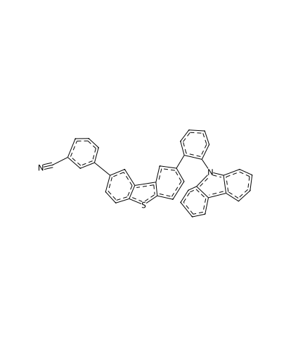 N#Cc1cccc(-c2ccc3sc4ccc(-c5ccccc5-n5c6ccccc6c6ccccc65)cc4c3c2)c1